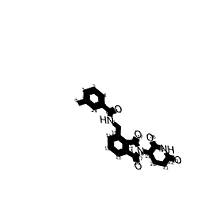 Cc1cccc(C(=O)NCc2cccc3c2C(=O)N(C2CCC(=O)NC2=O)C3=O)c1